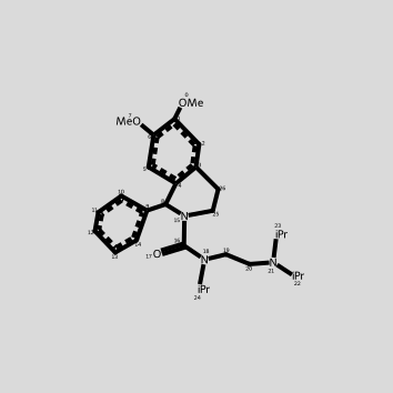 COc1cc2c(cc1OC)C(c1ccccc1)N(C(=O)N(CCN(C(C)C)C(C)C)C(C)C)CC2